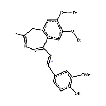 CCOc1cc2c(cc1OCC)C(/C=C/c1ccc(O)c(OC)c1)=NN=C(C)C2